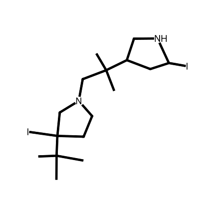 CC(C)(CN1CCC(I)(C(C)(C)C)C1)C1CNC(I)C1